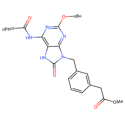 CCCCCC(=O)Nc1nc(OCCCC)nc2c1[nH]c(=O)n2Cc1cccc(CC(=O)OC)c1